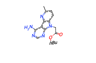 CCCCOC(=O)Cn1c2ccc(C)nc2c2c(N)ncnc21